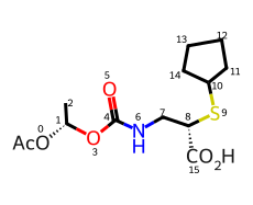 CC(=O)O[C@H](C)OC(=O)NC[C@H](SC1CCCC1)C(=O)O